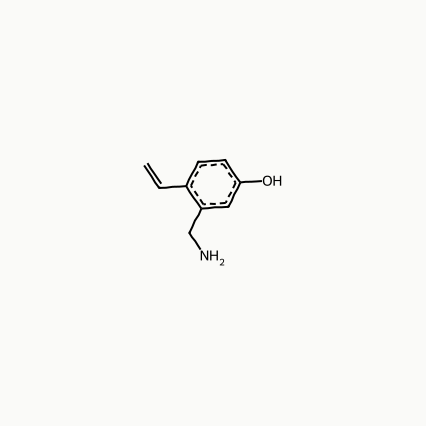 C=Cc1ccc(O)cc1CN